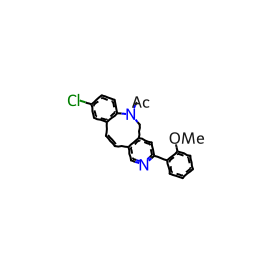 COc1ccccc1-c1cc2c(cn1)C=Cc1cc(Cl)ccc1N(C(C)=O)C2